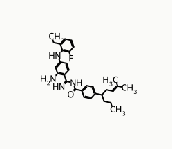 CCCC(CC=C(C)C)c1ccc(C(=O)NC(=N)c2ccc(Nc3c(F)cccc3CC)cc2N)cc1